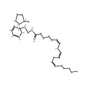 CCCCC/C=C\C/C=C\C/C=C\CCCCC(=O)OCOC1([C@@H]2CCCN2C)C=CC=NC1